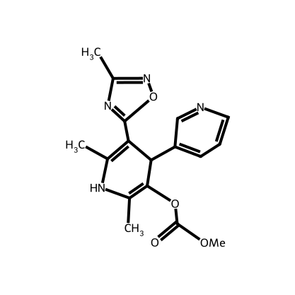 COC(=O)OC1=C(C)NC(C)=C(c2nc(C)no2)C1c1cccnc1